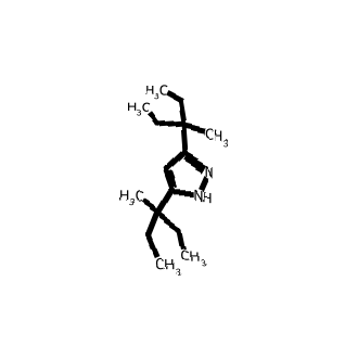 CCC(C)(CC)c1cc(C(C)(CC)CC)[nH]n1